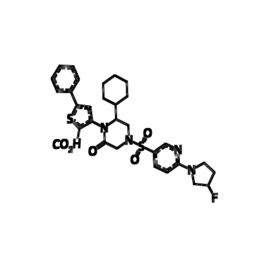 O=C(O)c1sc(-c2ccccc2)cc1N1C(=O)CN(S(=O)(=O)c2ccc(N3CCC(F)C3)nc2)CC1C1CCCCC1